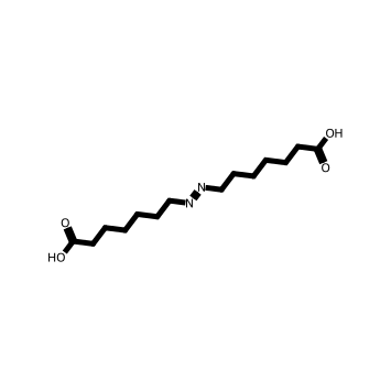 O=C(O)CCCCCCN=NCCCCCCC(=O)O